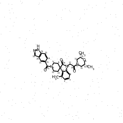 Cc1cccc2c1C1(CCN(C(=O)c3ccc4[nH]ncc4c3)CC1)C(=O)N2CC(=O)N1C[C@@H](C)O[C@@H](C)C1